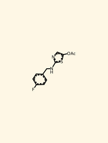 CC(=O)Oc1cnc(NCc2ccc(F)cc2)s1